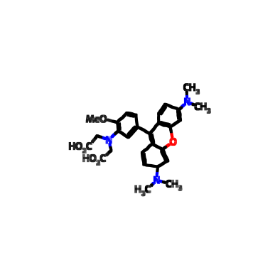 COc1ccc(C2=C3C=CC(N(C)C)C=C3Oc3cc(N(C)C)ccc32)cc1N(CC(=O)O)CC(=O)O